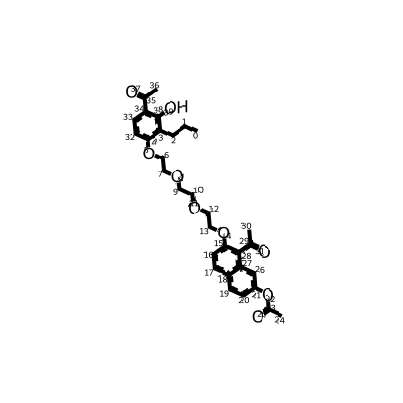 CCCc1c(OCCOCCOCCOc2ccc3ccc(OC(C)=O)cc3c2C(C)=O)ccc(C(C)=O)c1O